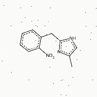 Cc1c[nH]c(Cc2ccccc2[N+](=O)[O-])n1